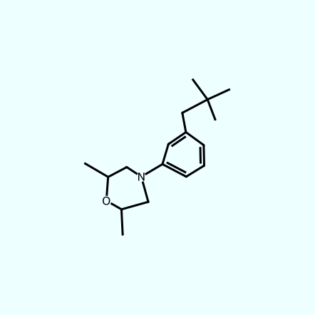 CC1CN(c2cccc(CC(C)(C)C)c2)CC(C)O1